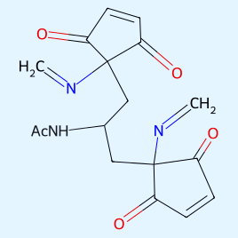 C=NC1(CC(CC2(N=C)C(=O)C=CC2=O)NC(C)=O)C(=O)C=CC1=O